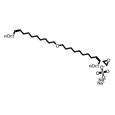 C1CO1.CCCCCCCC/C=C\CCCCCCCCOCCCCCCCC/C=C\CCCCCCCC.O=S(=O)([O-])[O-].[Na+].[Na+]